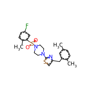 Cc1ccc(C)c(Cc2csc(N3CCN(S(=O)(=O)c4cc(F)ccc4C)CC3)n2)c1